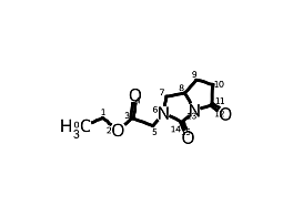 CCOC(=O)CN1CC2CCC(=O)N2C1=O